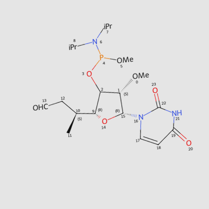 CO[C@H]1C(OP(OC)N(C(C)C)C(C)C)[C@@H]([C@@H](C)CC=O)O[C@H]1n1ccc(=O)[nH]c1=O